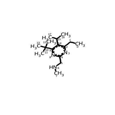 CCc1nc(CNC)nc(C(C)(C)C)c1C(C)C